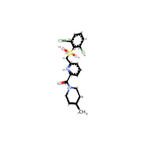 CC1CCN(C(=O)c2cccc(CS(=O)(=O)c3c(Cl)cccc3Cl)n2)CC1